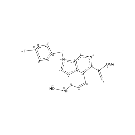 COC(=O)c1ncc2c(ccn2Cc2ccc(F)cc2)c1/C=C\CNO